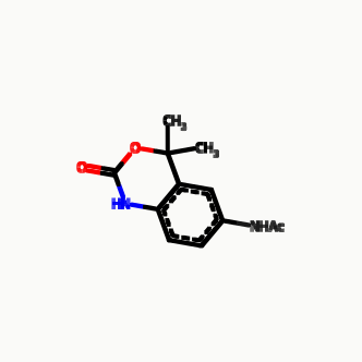 CC(=O)Nc1ccc2c(c1)C(C)(C)OC(=O)N2